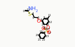 C=C(N)SCCCOc1cc(C)cc(OS(=O)(=O)c2ccccc2)c1